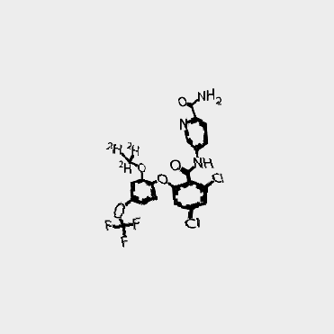 [2H]C([2H])([2H])Oc1cc(OC(F)(F)F)ccc1Oc1cc(Cl)cc(Cl)c1C(=O)Nc1ccc(C(N)=O)nc1